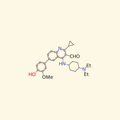 CCN(CC)C1CCC(Nc2c(C=O)c(C3CC3)nc3ccc(-c4ccc(O)c(OC)c4)cc23)CC1